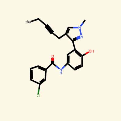 Cn1cc(CC#CCC(C)(C)C)c(-c2cc(NC(=O)c3cccc(Cl)c3)ccc2O)n1